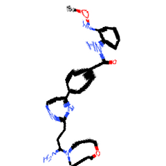 CC(C)(C)ONc1ccccc1NC(=O)c1ccc(-c2ccnc(CCC(N)N3CCOCC3)n2)cc1